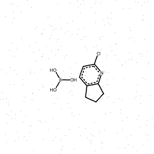 Clc1ccc2c(n1)CCC2.OB(O)O